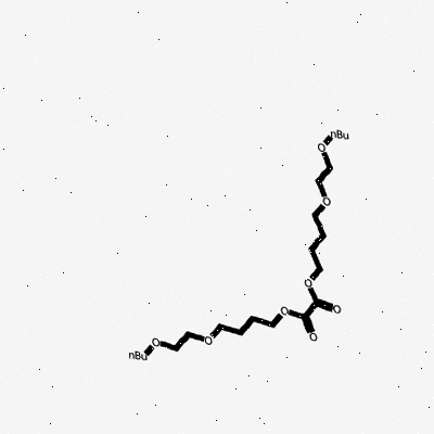 CCCCOCCOCCCCOC(=O)C(=O)OCCCCOCCOCCCC